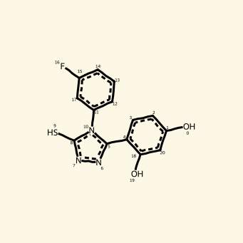 Oc1ccc(-c2nnc(S)n2-c2cccc(F)c2)c(O)c1